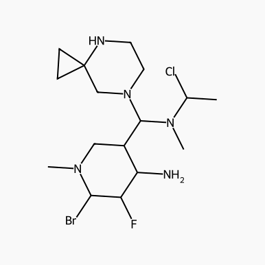 CC(Cl)N(C)C(C1CN(C)C(Br)C(F)C1N)N1CCNC2(CC2)C1